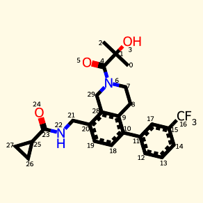 CC(C)(O)C(=O)N1CCc2c(-c3cccc(C(F)(F)F)c3)ccc(CNC(=O)C3CC3)c2C1